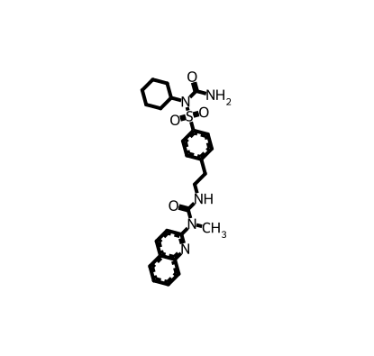 CN(C(=O)NCCc1ccc(S(=O)(=O)N(C(N)=O)C2CCCCC2)cc1)c1ccc2ccccc2n1